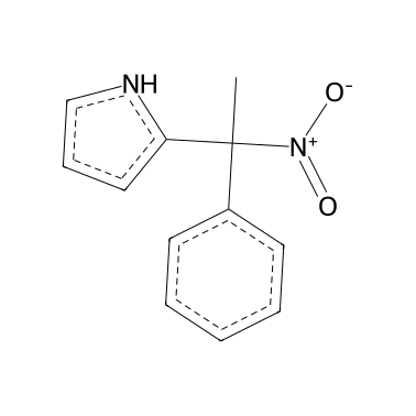 CC(c1ccccc1)(c1ccc[nH]1)[N+](=O)[O-]